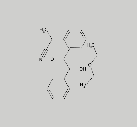 CC(C#N)c1ccccc1C(=O)C(O)c1ccccc1.CCOCC